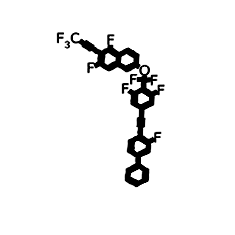 Fc1cc(-c2ccccc2)ccc1C#Cc1cc(F)c(C(F)(F)Oc2ccc3c(F)c(C#CC(F)(F)F)c(F)cc3c2)c(F)c1